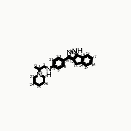 CC(CNc1ccc(-c2n[nH]c3c2Cc2ccccc2-3)cc1)N1CCCCC1